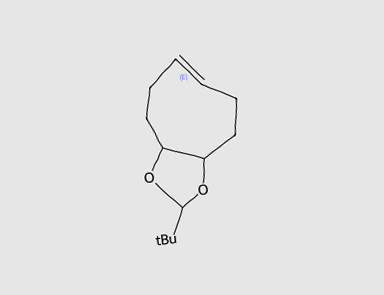 CC(C)(C)C1OC2CC/C=C/CCC2O1